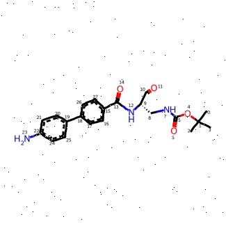 CC(C)(C)OC(=O)NC[C@@H](C=O)NC(=O)c1ccc(-c2ccc(N)cc2)cc1